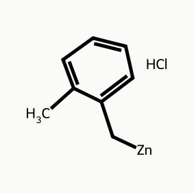 Cc1ccccc1[CH2][Zn].Cl